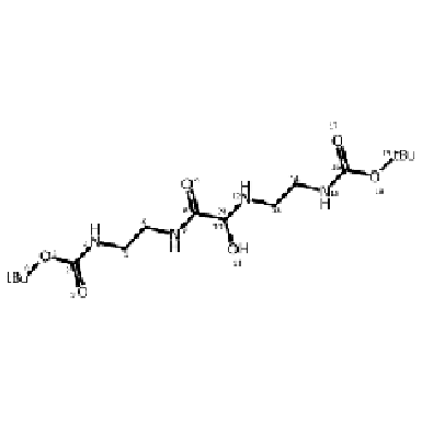 CC(C)(C)OC(=O)NCCNC(=O)[C@H](O)NCCNC(=O)OC(C)(C)C